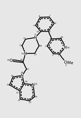 COc1ccc(-c2ccccc2N2CCN(C(=O)Cn3ccc4cccnc43)CC2)cn1